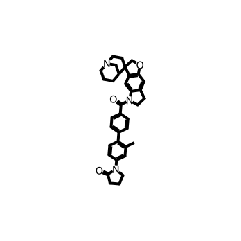 Cc1cc(N2CCCC2=O)ccc1-c1ccc(C(=O)N2CCc3cc4c(cc32)C2(CCN3CCCC2C3)CO4)cc1